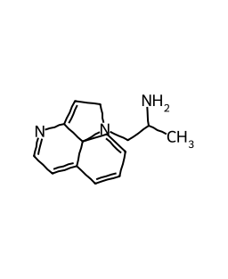 CC(N)CN1CC=C2N=CC=C3C=CC=CC321